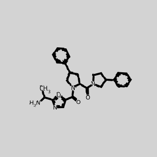 CC(N)c1ncc(C(=O)N2CC(c3ccccc3)CC2C(=O)N2CCC(c3ccccc3)C2)o1